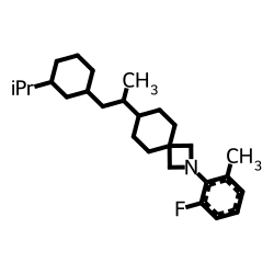 Cc1cccc(F)c1N1CC2(CCC(C(C)CC3CCCC(C(C)C)C3)CC2)C1